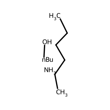 CCCCCC.CCCCO.N